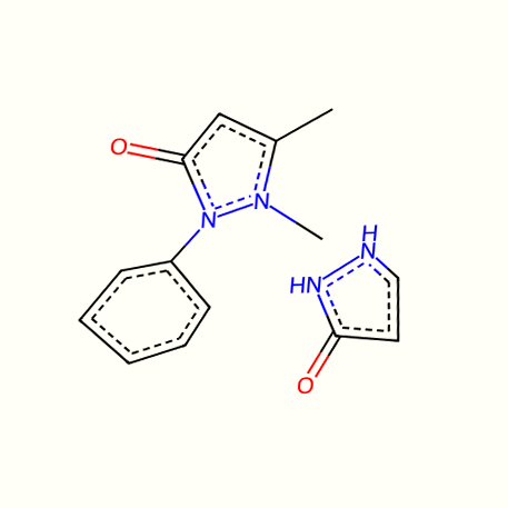 Cc1cc(=O)n(-c2ccccc2)n1C.O=c1cc[nH][nH]1